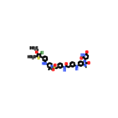 Cn1c(=O)n(C2CCC(=O)NC2=O)c2ccc(Nc3cccc(CC(=O)Nc4cccc(CS(=O)(=O)N5CC[C@H](Nc6cccc(-c7sc(C(=O)O)c(OCC(=O)O)c7Cl)c6)CC5(C)C)c4)c3)cc21